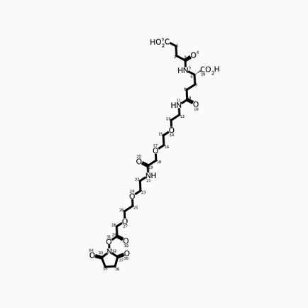 O=C(O)CCC(=O)N[C@@H](CCC(=O)NCCOCCOCC(=O)NCCOCCOCC(=O)ON1C(=O)CCC1=O)C(=O)O